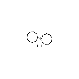 C1CCCCC(P2CCCCCCCC2)CCC1.[HH]